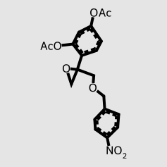 CC(=O)Oc1ccc(C2(COCc3ccc([N+](=O)[O-])cc3)CO2)c(OC(C)=O)c1